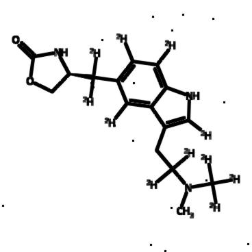 [2H]c1[nH]c2c([2H])c([2H])c(C([2H])([2H])[C@H]3COC(=O)N3)c([2H])c2c1CC([2H])([2H])N(C)C([2H])([2H])[2H]